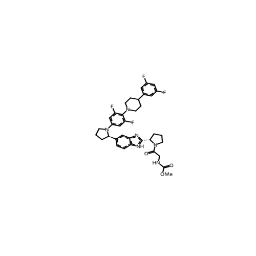 COC(=O)NCC(=O)N1CCC[C@H]1c1nc2cc([C@H]3CCCN3c3cc(F)c(N4CCC(c5cc(F)cc(F)c5)CC4)c(F)c3)ccc2[nH]1